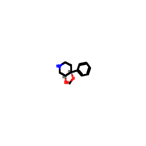 CO[C@@]1(c2ccccc2)CCNC[C@H]1O